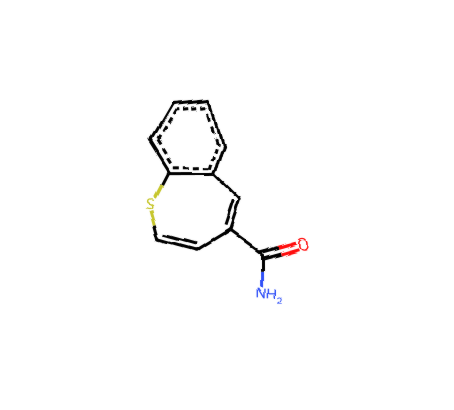 NC(=O)C1=Cc2ccccc2SC=C1